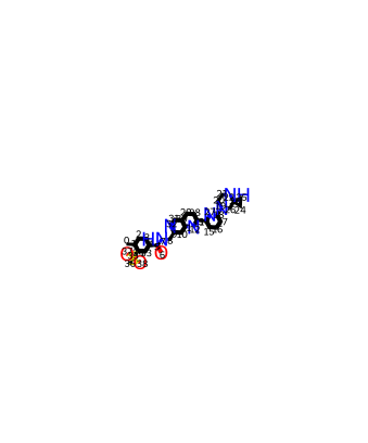 Cc1ccc(C(=O)NCc2cc3nc(-c4cccc(N5CCNC6(CC6)C5)n4)ccc3cn2)cc1S(C)(=O)=O